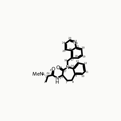 CN[C@@H](C)C(=O)NC1CCc2ccccc2N(Cc2cccc3ncccc23)C1=O